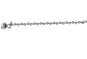 COCCOCCOCCOCCOCCOCCOCCOCCOCCOCCOCCOCCOCCOCCOCCOCCOCCOCCOCCOCCOCCOCCOC(=O)NCCC[Si](OC)(OC)OC